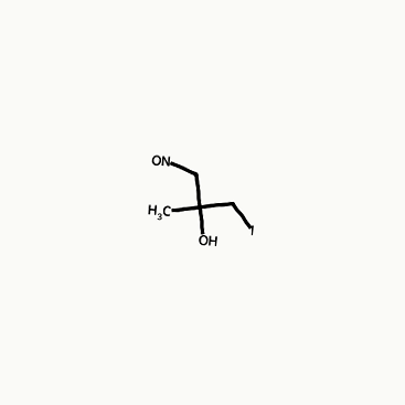 CC(O)(CI)CN=O